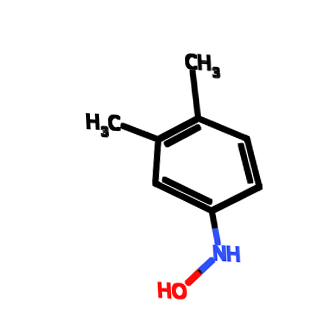 Cc1ccc(NO)cc1C